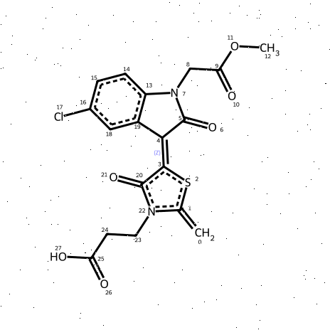 C=c1s/c(=C2\C(=O)N(CC(=O)OC)c3ccc(Cl)cc32)c(=O)n1CCC(=O)O